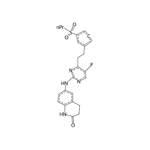 CCCS(=O)(=O)c1cccc(CCc2nc(Nc3ccc4c(c3)CCC(=O)N4)ncc2F)c1